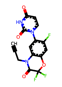 C#CCN1C(=O)C(F)(F)Oc2cc(F)c(-n3ccc(=O)[nH]c3=O)cc21